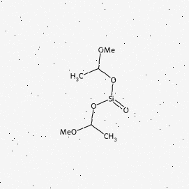 COC(C)O[Si](=O)OC(C)OC